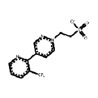 O=S(=O)([O-])CC[n+]1ccc(-c2ncccc2C(F)(F)F)cn1